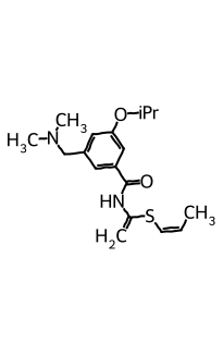 C=C(NC(=O)c1cc(CN(C)C)cc(OC(C)C)c1)S/C=C\C